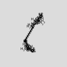 Cc1c(C(=O)C(=O)NC/C(N)=C/N(N)CCCCCCCCCCCCCCn2cc(CNC(=O)C(=O)c3c(C)c(C(=O)Nc4ccc(F)c(F)c4)n(C)c3C)nn2)c(C)n(C)c1C(=O)Nc1ccc(F)c(F)c1